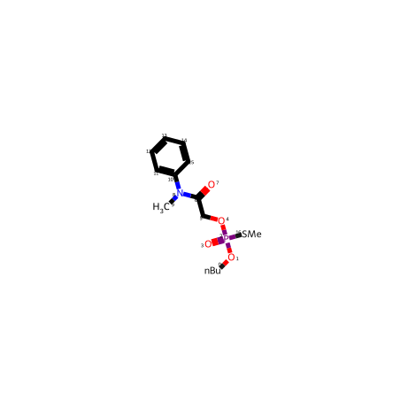 CCCCOP(=O)(OCC(=O)N(C)c1ccccc1)SC